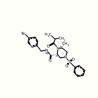 CC(C)C(=O)N1[C@H](C)CN(S(=O)(=O)c2ccccc2)C[C@@H]1C(=O)NCc1ccc(Br)cn1